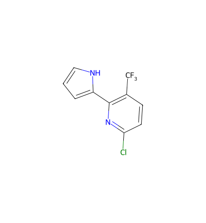 FC(F)(F)c1ccc(Cl)nc1-c1ccc[nH]1